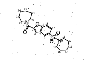 O=C(c1cc2cc(S(=O)(=O)N3CCCCCC3)ccc2o1)N1CCCCCC1